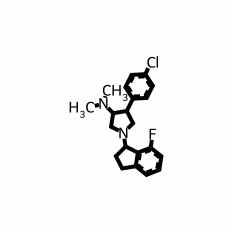 CN(C)C1CN(C2CCc3cccc(F)c32)CC1c1ccc(Cl)cc1